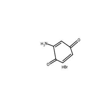 Br.NC1=CC(=O)C=CC1=O